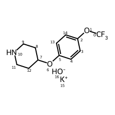 FC(F)(F)Oc1ccc(OC2CCNCC2)cc1.[K+].[OH-]